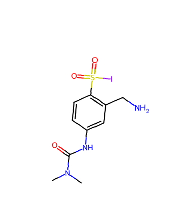 CN(C)C(=O)Nc1ccc(S(=O)(=O)I)c(CN)c1